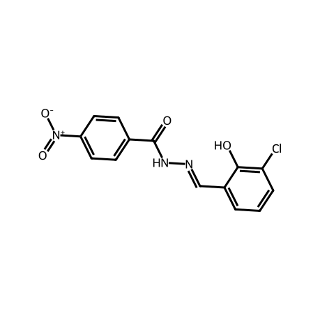 O=C(N/N=C/c1cccc(Cl)c1O)c1ccc([N+](=O)[O-])cc1